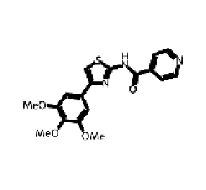 COc1cc(-c2csc(NC(=O)c3ccncc3)n2)cc(OC)c1OC